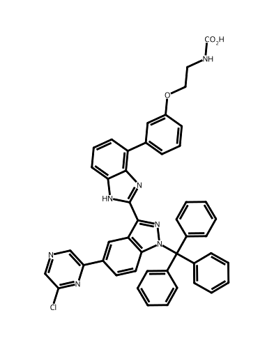 O=C(O)NCCOc1cccc(-c2cccc3[nH]c(-c4nn(C(c5ccccc5)(c5ccccc5)c5ccccc5)c5ccc(-c6cncc(Cl)n6)cc45)nc23)c1